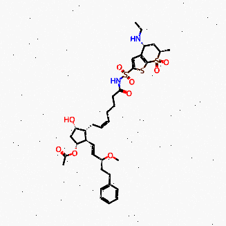 CCN[C@@H]1C[C@@H](C)S(=O)(=O)c2sc(S(=O)(=O)NC(=O)CCC/C=C\C[C@@H]3[C@@H](/C=C/[C@H](CCc4ccccc4)OC)[C@H](OC(C)=O)C[C@@H]3O)cc21